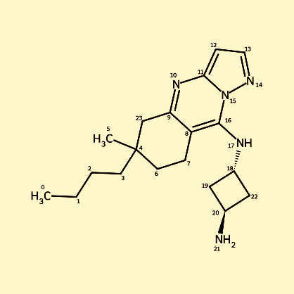 CCCCC1(C)CCc2c(nc3ccnn3c2N[C@H]2C[C@H](N)C2)C1